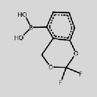 OB(O)c1cccc2c1COC(F)(F)O2